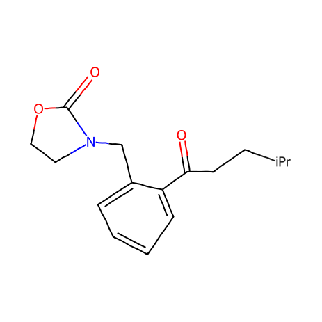 CC(C)CCC(=O)c1ccccc1CN1CCOC1=O